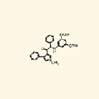 COC1=CC(NC(C(=O)c2cn(C)cc2-c2ccccc2)c2ccccc2)=CC(OC)C1